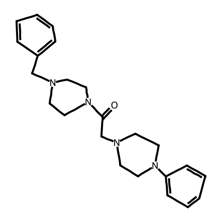 O=C(CN1CCN(c2ccccc2)CC1)N1CCN(Cc2ccccc2)CC1